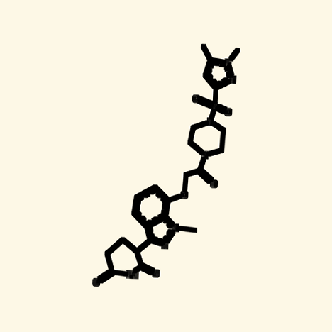 Cc1cc(S(=O)(=O)N2CCN(C(=O)COc3cccc4c(C5CCC(=O)NC5=O)nn(C)c34)CC2)nn1C